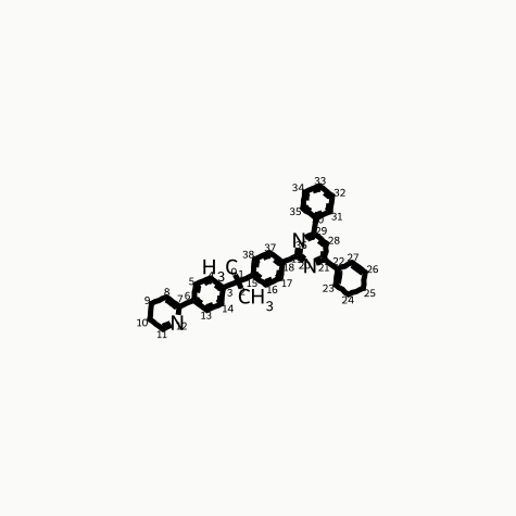 CC(C)(c1ccc(C2=CCCC=N2)cc1)c1ccc(-c2nc(C3=CCCC=C3)cc(-c3ccccc3)n2)cc1